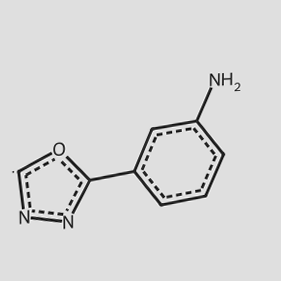 Nc1cccc(-c2nn[c]o2)c1